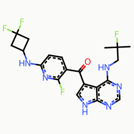 CC(C)(F)CNc1ncnc2[nH]cc(C(=O)c3ccc(NC4CC(F)(F)C4)nc3F)c12